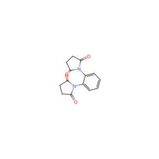 O=C1[CH]CC(=O)N1c1ccccc1N1C(=O)[CH]CC1=O